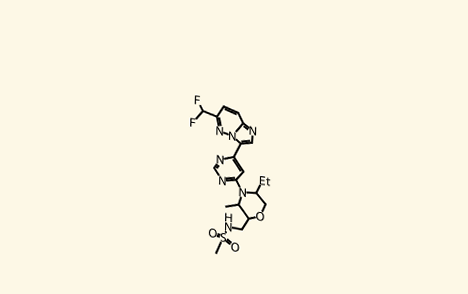 CCC1COC(CNS(C)(=O)=O)C(C)N1c1cc(-c2cnc3ccc(C(F)F)nn23)ncn1